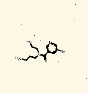 CCCCN(CCO)C(=O)c1cncc(Br)c1